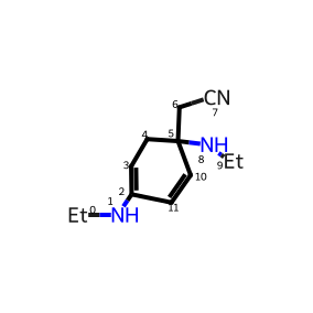 CCNC1=CCC(CC#N)(NCC)C=C1